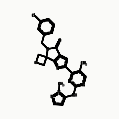 Cc1cnc(Nc2ccnn2C)nc1-c1cc2c(s1)C1(COC1)N(Cc1cccc(Cl)c1)C2=O